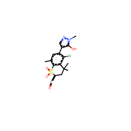 Cc1cc(-c2cnn(C)c2O)c(Cl)c2c1S(=O)(=O)C(=C=O)CC2(C)C